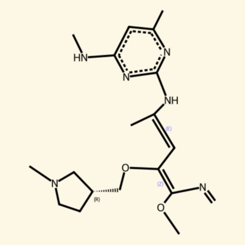 C=N/C(OC)=C(\C=C(/C)Nc1nc(C)cc(NC)n1)OC[C@@H]1CCN(C)C1